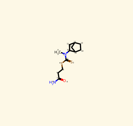 CN(C(=S)SCCC(N)=O)C1CC2CCC1C2